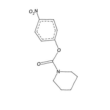 O=C(Oc1ccc([N+](=O)[O-])cc1)N1CCCCC1